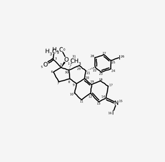 CO[C@]1(C(C)=O)CCC2C3CCC4=C/C(=N\I)CCC4=C3[C@@H](c3ccc(I)cc3)C[C@@]21C